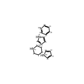 C1CCNCC1.c1c[nH]cn1.c1cc[nH]c1.c1ccncc1